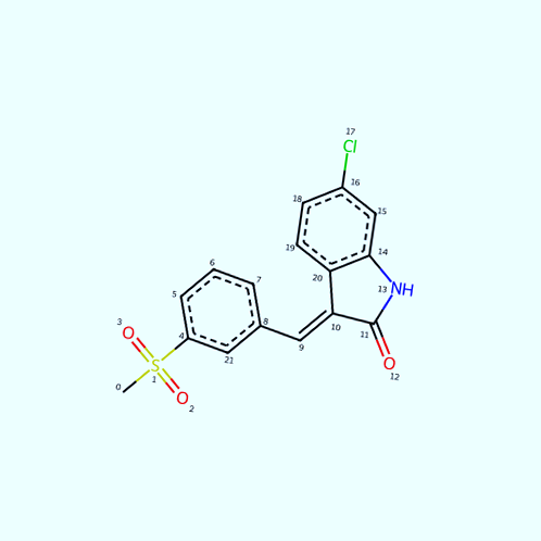 CS(=O)(=O)c1cccc(/C=C2/C(=O)Nc3cc(Cl)ccc32)c1